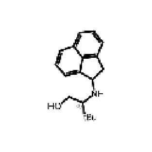 CC(C)(C)[C@@H](CO)NC1Cc2cccc3cccc1c23